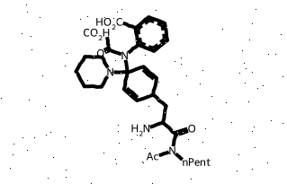 CCCCCN(C(C)=O)C(=O)C(N)CC1C=CC(N2CCCCC2)(N(C(=O)C(=O)O)c2ccccc2C(=O)O)C=C1